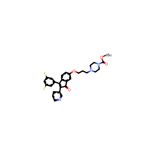 CC(C)(C)OC(=O)N1CCN(CCCOc2ccc3c(c2)C(=O)C(c2cccnc2)=C3c2cc(F)cc(F)c2)CC1